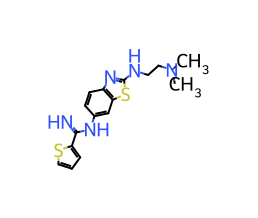 CN(C)CCNc1nc2ccc(NC(=N)c3cccs3)cc2s1